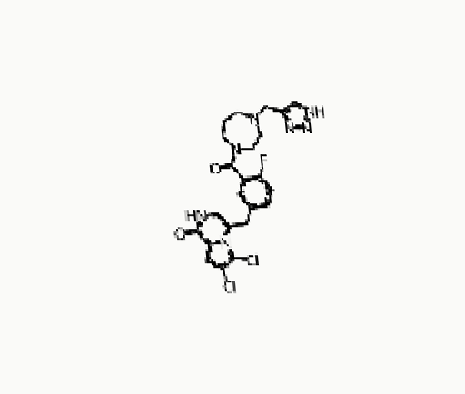 O=C(c1cc(Cc2c[nH]c(=O)c3cc(Cl)c(Cl)n23)ccc1F)N1CCCN(Cc2c[nH]nn2)CC1